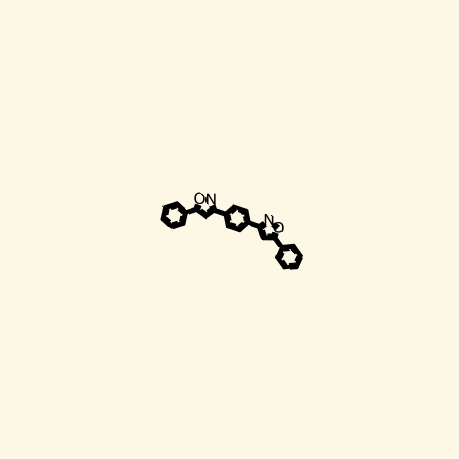 c1ccc(-c2cc(-c3ccc(-c4cc(-c5ccccc5)on4)cc3)no2)cc1